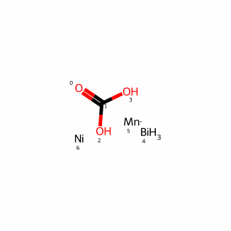 O=C(O)O.[BiH3].[Mn].[Ni]